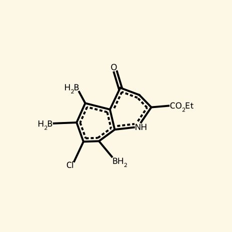 Bc1c(Cl)c(B)c2[nH]c(C(=O)OCC)cc(=O)c2c1B